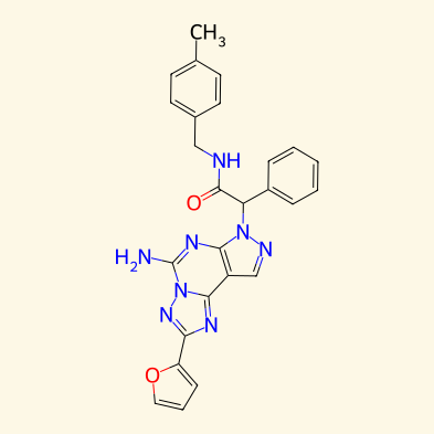 Cc1ccc(CNC(=O)C(c2ccccc2)n2ncc3c2nc(N)n2nc(-c4ccco4)nc32)cc1